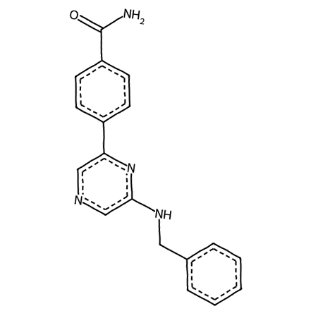 NC(=O)c1ccc(-c2cncc(NCc3ccccc3)n2)cc1